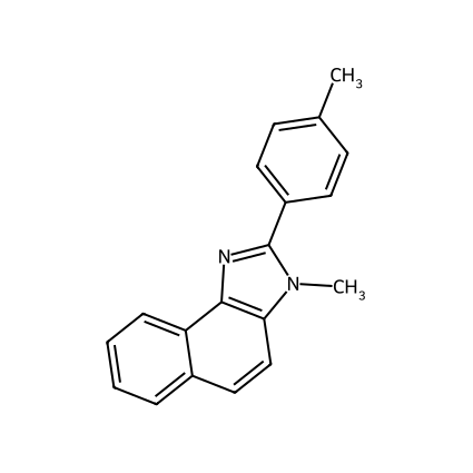 Cc1ccc(-c2nc3c4ccccc4ccc3n2C)cc1